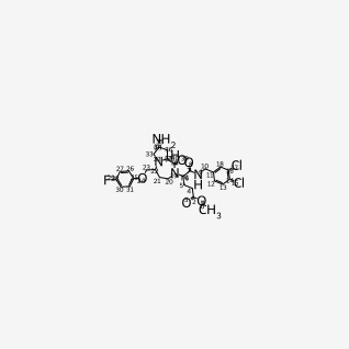 COC(=O)CC[C@H](C(=O)NCc1ccc(Cl)c(Cl)c1)N1CCC(COc2ccc(F)cc2)N2C[C@H](N)C[C@H]2C1=O